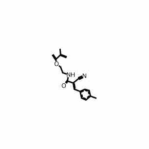 C=C(C)C(=C)OCCNC(=O)/C(C#N)=C/c1ccc(C)cc1